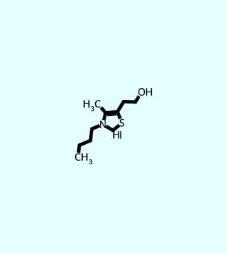 CCCCN1CSC(CCO)=C1C.I